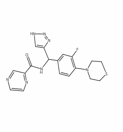 O=C(NC(c1ccc(N2CCSCC2)c(F)c1)c1c[nH]nn1)c1cnccn1